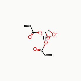 C=CC(=O)[O][Ti+2][O]C(=O)C=C.C[O-].C[O-]